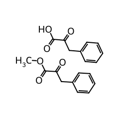 COC(=O)C(=O)Cc1ccccc1.O=C(O)C(=O)Cc1ccccc1